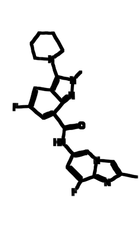 Cc1cn2cc(NC(=O)c3cc(F)cc4c(N5CCCCC5)n(C)nc34)cc(F)c2n1